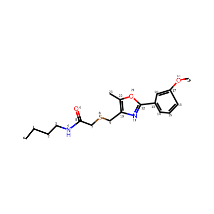 CCCCNC(=O)CSCc1nc(-c2cccc(OC)c2)oc1C